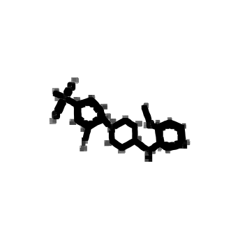 COc1ccncc1NC1CCN(c2ccc(S(C)(=O)=O)cc2F)CC1